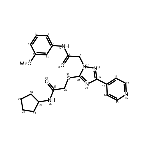 COc1cccc(NC(=O)Cn2nc(-c3ccncc3)nc2SCC(=O)NC2CCCC2)c1